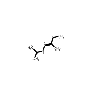 [CH2]/C(CC)=N\OC(C)C